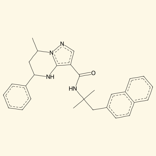 CC1CC(c2ccccc2)Nc2c(C(=O)NC(C)(C)Cc3ccc4ccccc4c3)cnn21